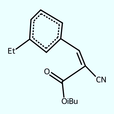 CCc1cccc(C=C(C#N)C(=O)OCC(C)C)c1